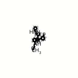 COCCNc1cccc2c(-c3ccnc(NC4CCCC4)n3)c(-c3cccc(F)c3)nn12